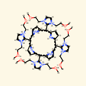 COCCn1cc[n+](CCOC)c1-c1c2nc(c(-c3n(CCOC)cc[n+]3CCOC)c3ccc([nH]3)c(-c3n(CCOC)cc[n+]3CCOC)c3nc(c(-c4n(CCOC)cc[n+]4CCOC)c4ccc1[nH]4)C=C3)C=C2